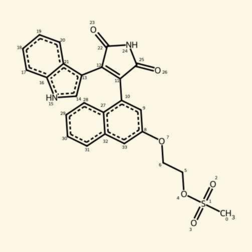 CS(=O)(=O)OCCOc1cc(C2=C(c3c[nH]c4ccccc34)C(=O)NC2=O)c2ccccc2c1